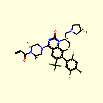 C=CC(=O)N1[C@H](C)CN(c2nc(=O)n3c4c(c(-c5cc(Cl)c(F)cc5F)c(C(F)(F)F)cc24)SC[C@@H]3CN2CC[C@H](F)C2)C[C@@H]1C